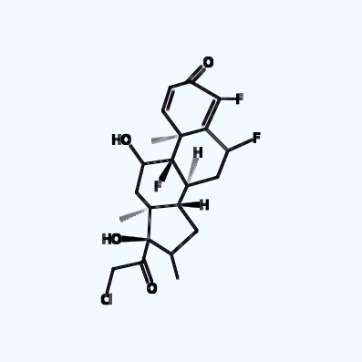 CC1C[C@H]2[C@@H]3CC(F)C4=C(F)C(=O)C=C[C@]4(C)[C@@]3(F)C(O)C[C@]2(C)[C@@]1(O)C(=O)CCl